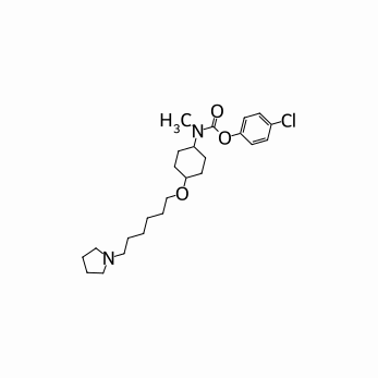 CN(C(=O)Oc1ccc(Cl)cc1)C1CCC(OCCCCCCN2CCCC2)CC1